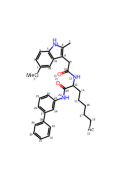 COc1ccc2[nH]c(C)c(CC(=O)NC(CCCCCC(C)=O)C(=O)Nc3cccc(-c4ccccc4)c3)c2c1